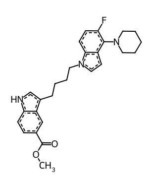 COC(=O)c1ccc2[nH]cc(CCCCn3ccc4c(N5CCCCC5)c(F)ccc43)c2c1